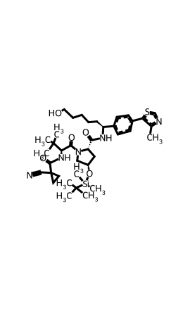 Cc1ncsc1-c1ccc([C@H](CCCCCO)NC(=O)[C@@H]2C[C@@H](O[Si](C)(C)C(C)(C)C)CN2C(=O)[C@@H](NC(=O)C2(C#N)CC2)C(C)(C)C)cc1